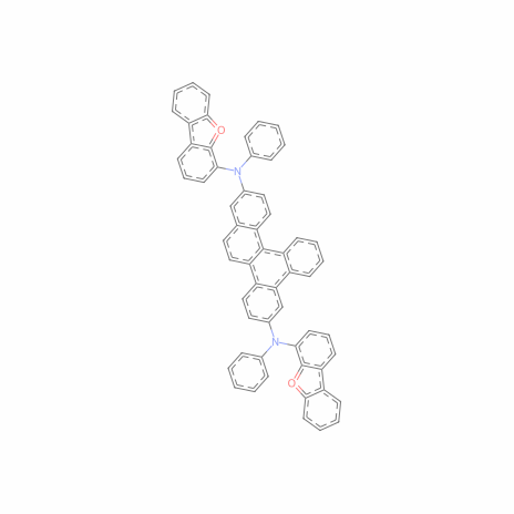 c1ccc(N(c2ccc3c(ccc4c5ccc(N(c6ccccc6)c6cccc7c6oc6ccccc67)cc5c5ccccc5c34)c2)c2cccc3c2oc2ccccc23)cc1